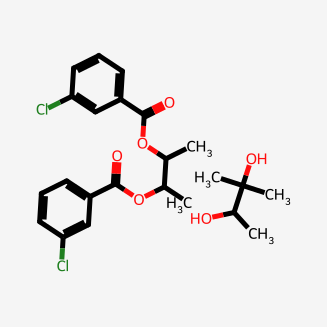 CC(O)C(C)(C)O.CC(OC(=O)c1cccc(Cl)c1)C(C)OC(=O)c1cccc(Cl)c1